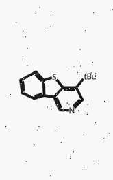 CC(C)(C)c1cncc2c1sc1ccccc12